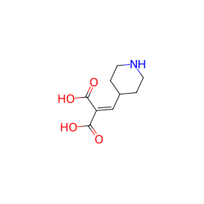 O=C(O)C(=CC1CCNCC1)C(=O)O